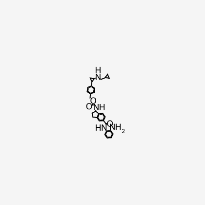 Nc1ccccc1NC(=O)c1ccc2c(c1)CCC2NC(=O)OCc1ccc(C2CC2NCC2CC2)cc1